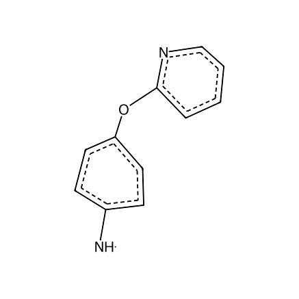 [NH]c1ccc(Oc2ccccn2)cc1